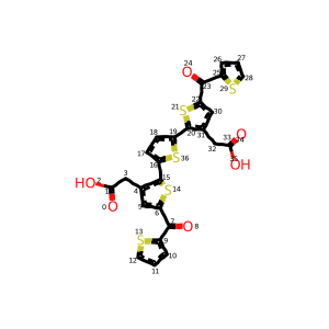 O=C(O)Cc1cc(C(=O)c2cccs2)sc1-c1ccc(-c2sc(C(=O)c3cccs3)cc2CC(=O)O)s1